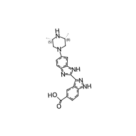 C[C@@H]1CN(c2ccc3nc(-c4n[nH]c5ccc(C(=O)O)cc45)[nH]c3c2)C[C@H](C)N1